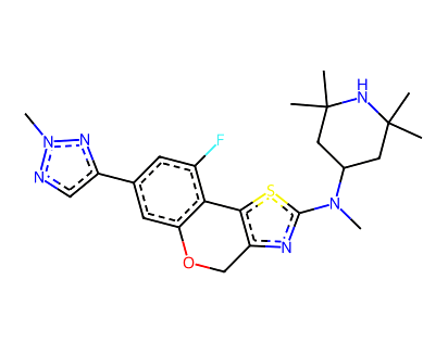 CN(c1nc2c(s1)-c1c(F)cc(-c3cnn(C)n3)cc1OC2)C1CC(C)(C)NC(C)(C)C1